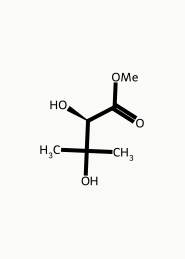 COC(=O)[C@H](O)C(C)(C)O